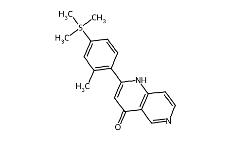 Cc1cc(S(C)(C)C)ccc1-c1cc(=O)c2cnccc2[nH]1